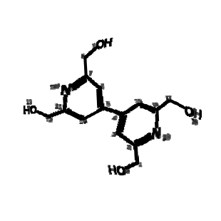 OCc1cc(-c2cc(CO)nc(CO)c2)cc(CO)n1